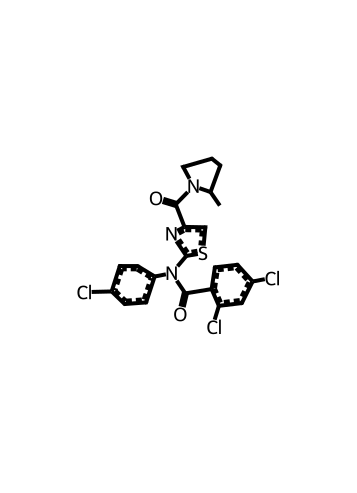 CC1CCCN1C(=O)c1csc(N(C(=O)c2ccc(Cl)cc2Cl)c2ccc(Cl)cc2)n1